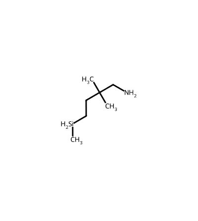 C[SiH2]CCC(C)(C)CN